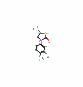 [CH2][C@@H]1CN(c2ccc(C)c(F)c2)C(=O)O1